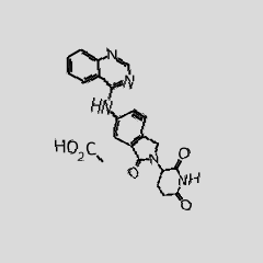 CC(=O)O.O=C1CCC(N2Cc3ccc(Nc4ncnc5ccccc45)cc3C2=O)C(=O)N1